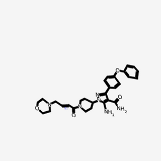 NC(=O)c1c(-c2ccc(Oc3ccccc3)cc2)nn(C2CCN(C(=O)/C=C/CN3CCOCC3)CC2)c1N